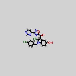 O=C(c1nc(-c2ccncn2)no1)c1c(Cl)n(Cc2ccc(Cl)cc2)c2ccc(O)cc12